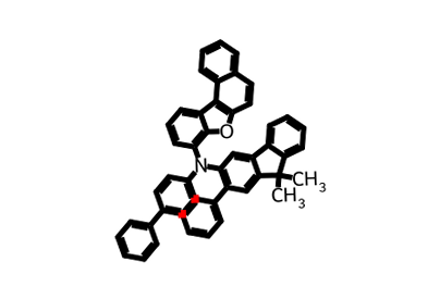 CC1(C)c2ccccc2-c2cc(N(c3ccc(-c4ccccc4)cc3)c3cccc4c3oc3ccc5ccccc5c34)c(-c3ccccc3)cc21